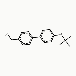 CC(C)(C)Sc1ccc(-c2ccc(CBr)cc2)cc1